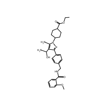 CCOC(=O)C1CCC(n2nc(-c3ccc(CNC(=O)c4ccccc4OC)cc3)c(C(N)O)c2N)CC1